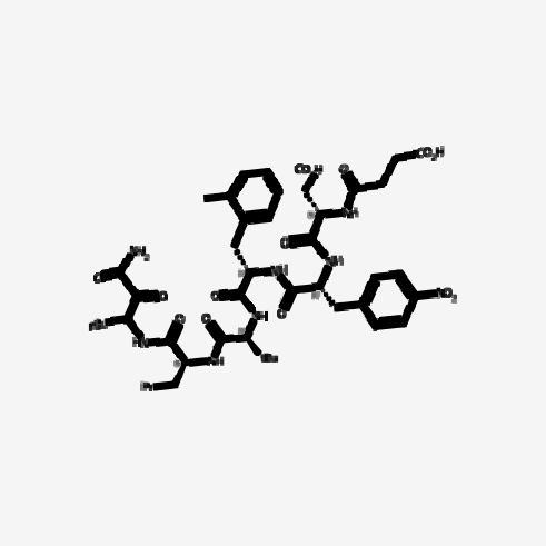 CCCCC(NC(=O)[C@H](CC(C)C)NC(=O)[C@@H](NC(=O)[C@H](Cc1ccccc1C)NC(=O)[C@@H](Cc1ccc([N+](=O)[O-])cc1)NC(=O)[C@H](CC(=O)O)NC(=O)CCC(=O)O)C(C)(C)C)C(=O)C(N)=O